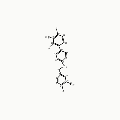 Cc1ccc(COc2ccc(-c3ccc(C)c(F)c3F)cc2)cc1F